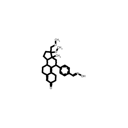 COCC1(OC)CCC2C3CCC4=CC(=O)CCC4=C3C(c3ccc(/C=N/O)cc3)CC21C